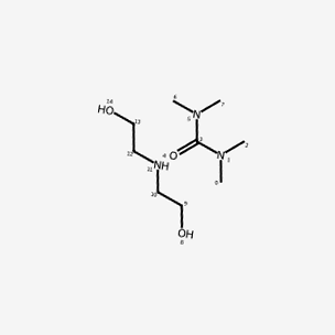 CN(C)C(=O)N(C)C.OCCNCCO